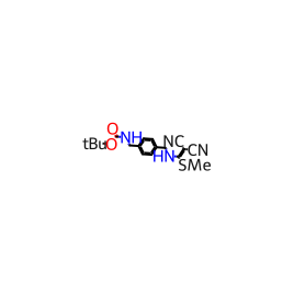 CSC(NCc1ccc(CNC(=O)OC(C)(C)C)cc1)=C(C#N)C#N